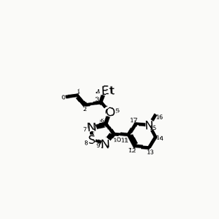 CC=CC(CC)Oc1nsnc1C1=CCCN(C)C1